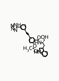 CC(C)Oc1ccc(C#Cc2cccc(-c3nnn[nH]3)c2)cc1C(=O)N[C@@H](CO)Cc1c[nH]c2ccccc12